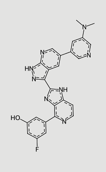 CN(C)c1cncc(-c2cnc3[nH]nc(-c4nc5c(-c6cc(O)cc(F)c6)nccc5[nH]4)c3c2)c1